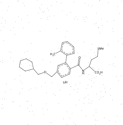 CSCCC(NC(=O)c1ccc(COCC2CCCCC2)cc1-c1ccccc1C)C(=O)O.[LiH]